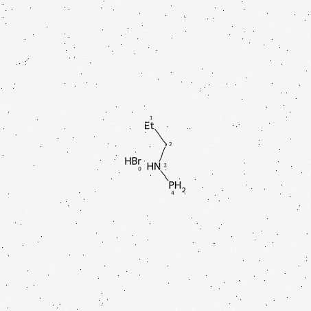 Br.CCCNP